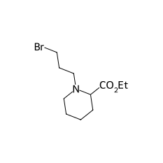 CCOC(=O)C1CCCCN1CCCBr